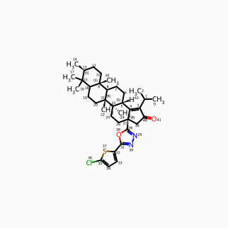 CC(C)C1=C2[C@H]3CCC4[C@@]5(C)CC[C@H](C)C(C)(C)C5CC[C@@]4(C)[C@]3(C)CC[C@@]2(c2nnc(-c3ccc(Cl)s3)o2)CC1=O